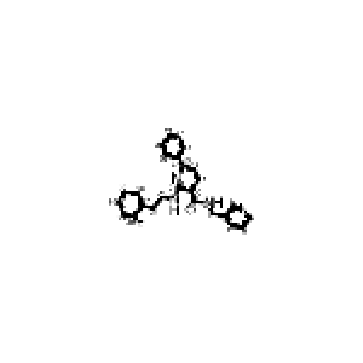 O=C(NCc1cccnc1)c1ccc(-c2ccccc2)nc1NCCc1ccccc1F